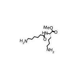 COC(=O)[C@H](CCCCN)NC(=O)CCCCCN